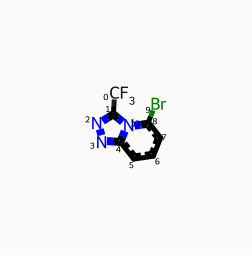 FC(F)(F)c1nnc2cccc(Br)n12